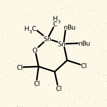 CCC[CH2][Sn]1([CH2]CCC)[CH](Cl)C(Cl)C(Cl)(Cl)[O][Sn]1([CH3])[CH3]